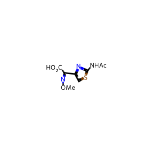 CO/N=C(/C(=O)O)c1csc(NC(C)=O)n1